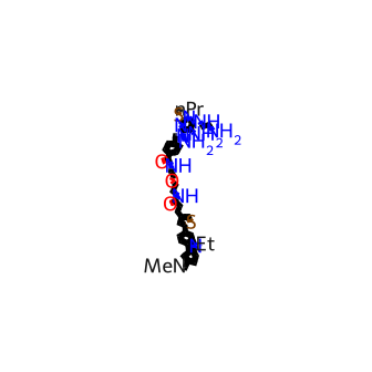 CCCSc1nc(NCCN)c(N)c(N(N)Cc2ccc(C(=O)NCCOCCNC(=O)CCc3csc(-c4ccc5c6cc(CNC)ccc6n(CC)c5c4)c3)cc2)n1